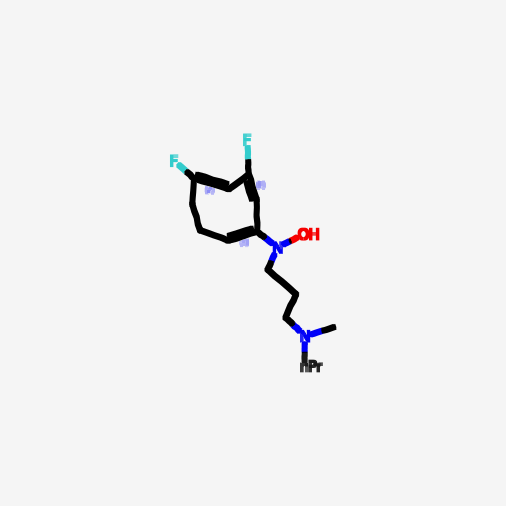 CCCN(C)CCCN(O)C1=C/CC/C(F)=C/C(F)=C\1